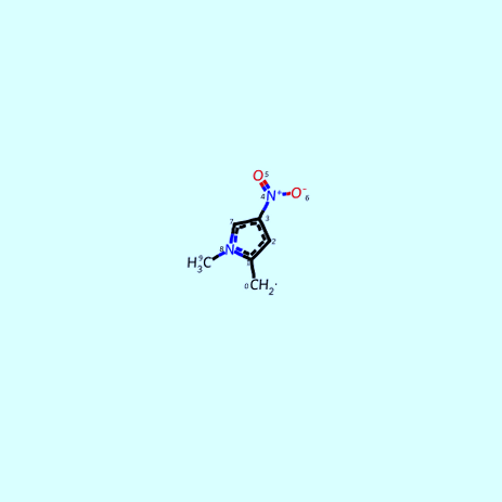 [CH2]c1cc([N+](=O)[O-])cn1C